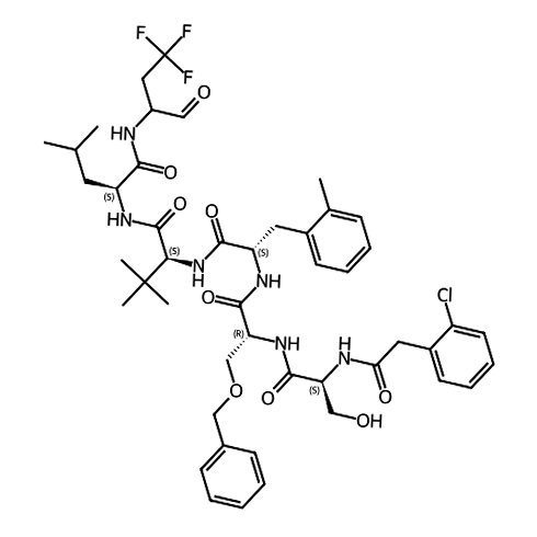 Cc1ccccc1C[C@H](NC(=O)[C@@H](COCc1ccccc1)NC(=O)[C@H](CO)NC(=O)Cc1ccccc1Cl)C(=O)N[C@H](C(=O)N[C@@H](CC(C)C)C(=O)NC(C=O)CC(F)(F)F)C(C)(C)C